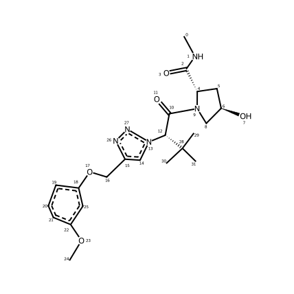 CNC(=O)[C@@H]1C[C@@H](O)CN1C(=O)[C@@H](n1cc(COc2cccc(OC)c2)nn1)C(C)(C)C